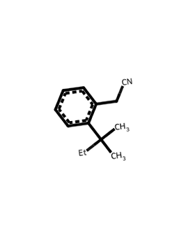 CCC(C)(C)c1ccccc1CC#N